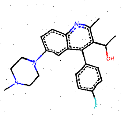 Cc1nc2ccc(N3CCN(C)CC3)cc2c(-c2ccc(F)cc2)c1C(C)O